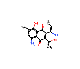 C=C(O)C1=C(/C(N)=C\C)C(=O)c2c(O)c(C)cc(N)c2C1=O